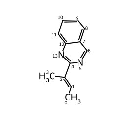 C/C=C(\C)c1ncc2ccccc2n1